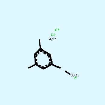 CCOC(C)=O.Cc1cc(C)cc(C)c1.[Al+3].[Cl-].[Cl-].[Cl-]